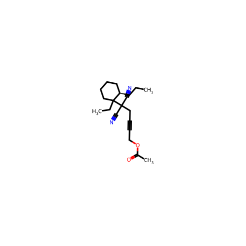 CCC[C@@H]1CCCCC1(CC)C(C#N)(C#N)CC#CCOC(C)=O